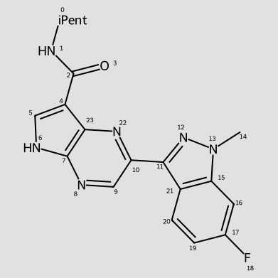 CCCC(C)NC(=O)c1c[nH]c2ncc(-c3nn(C)c4cc(F)ccc34)nc12